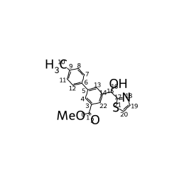 COC(=O)c1cc(-c2ccc(C)cc2)cc(C(O)c2nccs2)c1